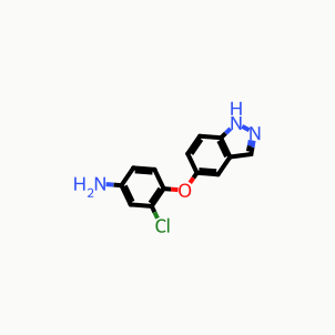 Nc1ccc(Oc2ccc3[nH]ncc3c2)c(Cl)c1